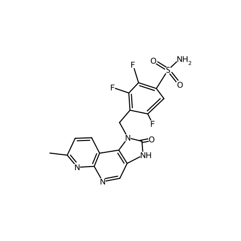 Cc1ccc2c(ncc3[nH]c(=O)n(Cc4c(F)cc(S(N)(=O)=O)c(F)c4F)c32)n1